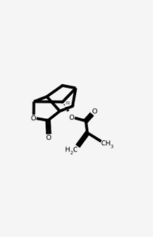 C=C(C)C(=O)O[C@H]1C2CC3C(=O)OC1C3C2